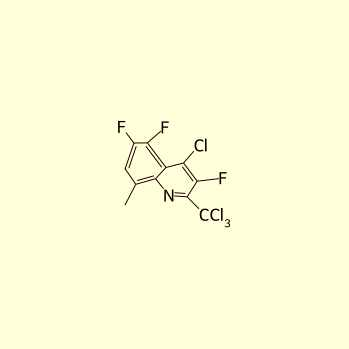 Cc1cc(F)c(F)c2c(Cl)c(F)c(C(Cl)(Cl)Cl)nc12